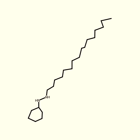 CCCCCCCCCCCCCCCCNNC1CCCCC1